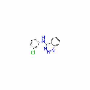 Clc1cccc(Nc2nnnc3ccccc23)c1